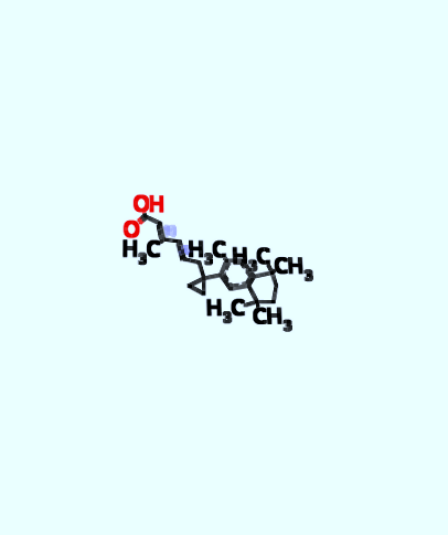 CC(/C=C/CC1(c2cc3c(cc2C)C(C)(C)CCC3(C)C)CC1)=C\C(=O)O